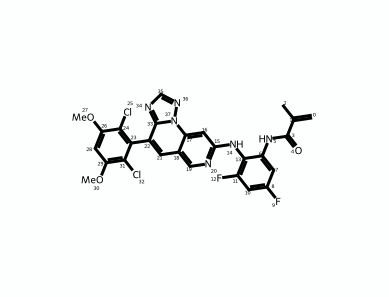 C=C(C)C(=O)Nc1cc(F)cc(F)c1Nc1cc2c(cn1)cc(-c1c(Cl)c(OC)cc(OC)c1Cl)c1ncnn12